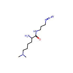 CN(C)CCCCC(N)C(=O)NCCCN=[N+]=[N-]